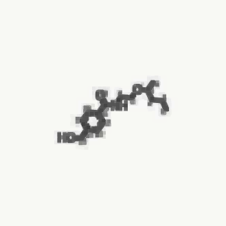 CCCC(C)OCCNC(=O)c1ccc(CO)cc1